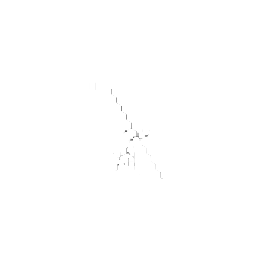 CCCCCCCCCCC(CC(CSC[C@H](N)C(=O)NCCO)[C@@H](CCCCCCCCCC)C(=O)O)C(=O)O